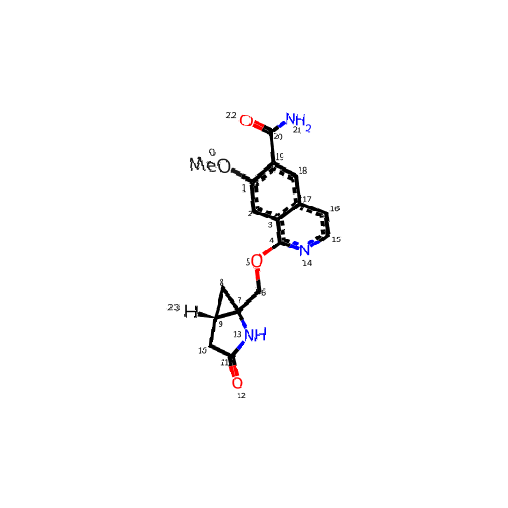 COc1cc2c(OCC34C[C@H]3CC(=O)N4)nccc2cc1C(N)=O